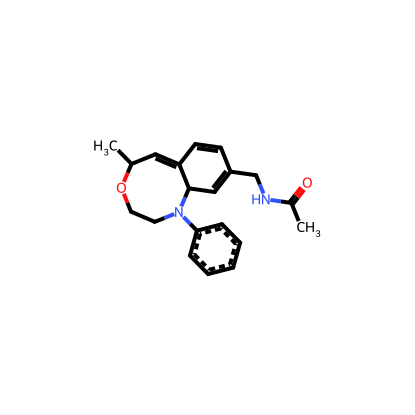 CC(=O)NCC1=CC2/C(=C\C(C)OCCN2c2ccccc2)C=C1